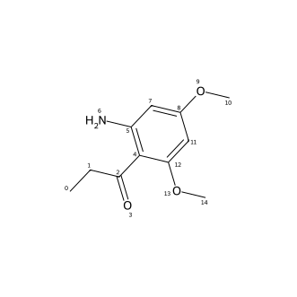 CCC(=O)c1c(N)cc(OC)cc1OC